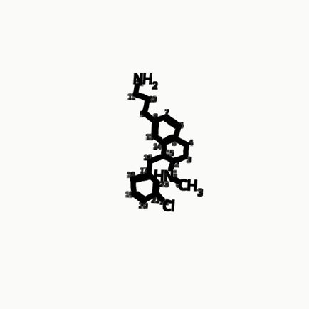 CNC1CCc2ccc(CCCN)cc2C1Cc1cccc(Cl)c1